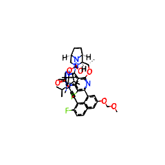 COCOc1cc(-c2nc3c4c(nc(=O)n(C)c4c2F)N2C[C@H]4CC[C@@H]([C@H]2[C@H](C)O3)N4C(=O)OC(C)(C)C)c2c(C#C[Si](C(C)C)(C(C)C)C(C)C)c(F)ccc2c1